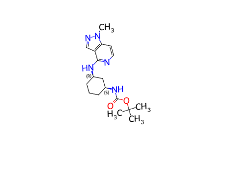 Cn1ncc2c(N[C@@H]3CCC[C@H](NC(=O)OC(C)(C)C)C3)nccc21